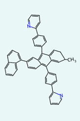 CC1C=c2c(-c3ccc(-c4ccccn4)cc3)c3ccc(-c4cccc5ccccc45)cc3c(-c3ccc(-c4ccccn4)cc3)c2=CC1